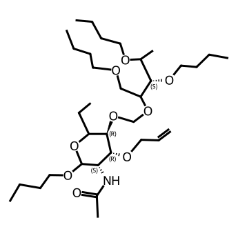 C=CCO[C@@H]1[C@H](NC(C)=O)C(OCCCC)OC(CC)[C@H]1OCOC(COCCCC)[C@@H](OCCCC)C(C)OCCCC